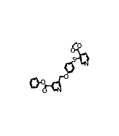 O=C(Oc1ccccc1)c1cncc(COc2ccc(Sc3cnccc3C3OCCO3)cc2)c1